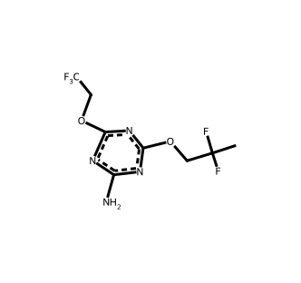 CC(F)(F)COc1nc(N)nc(OCC(F)(F)F)n1